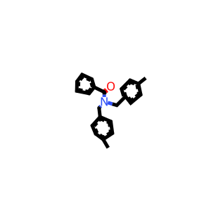 Cc1ccc(CN(Cc2ccc(C)cc2)C(=O)c2ccccc2)cc1